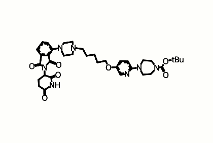 CC(C)(C)OC(=O)N1CCN(c2ccc(OCCCCCN3CCN(c4cccc5c4C(=O)N(C4CCC(=O)NC4=O)C5=O)CC3)cn2)CC1